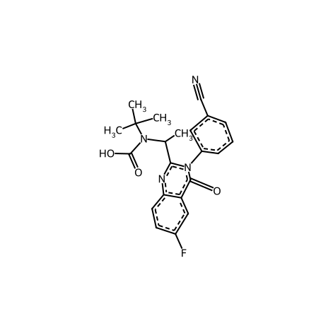 CC(c1nc2ccc(F)cc2c(=O)n1-c1cccc(C#N)c1)N(C(=O)O)C(C)(C)C